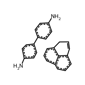 C1=Cc2cccc3cccc(c23)C1.Nc1ccc(-c2ccc(N)cc2)cc1